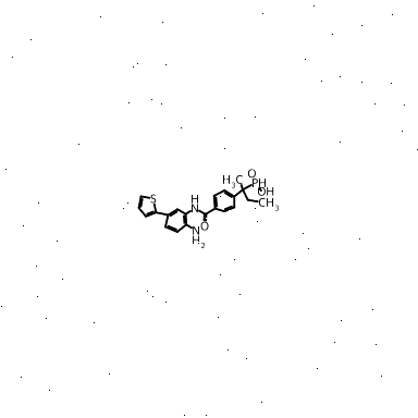 CCC(C)(c1ccc(C(=O)Nc2cc(-c3cccs3)ccc2N)cc1)[PH](=O)O